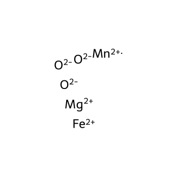 [Fe+2].[Mg+2].[Mn+2].[O-2].[O-2].[O-2]